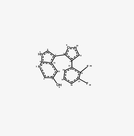 Oc1cnc2[nH]cc(-c3oncc3-c3cccc(F)c3F)c2c1